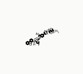 CC(=O)c1cn(CC(=O)N2C[C@H](F)C[C@H]2C(=O)Nc2cccc(-c3ccccc3Cl)c2F)c2ccc(-c3cnc(O[C@@H]4CO[C@H]5[C@@H]4OC[C@H]5C)nc3)cc12